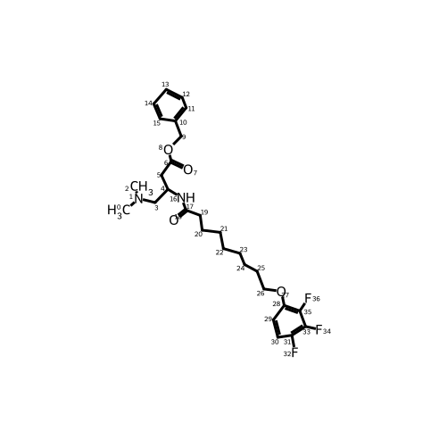 CN(C)CC(CC(=O)OCc1ccccc1)NC(=O)CCCCCCCCOc1ccc(F)c(F)c1F